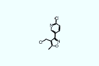 Cc1onc(-c2ccc(Cl)nc2)c1CCl